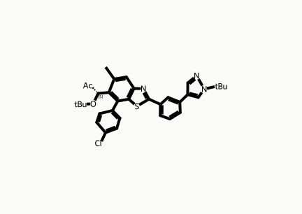 CC(=O)[C@@H](OC(C)(C)C)c1c(C)cc2nc(-c3cccc(-c4cnn(C(C)(C)C)c4)c3)sc2c1-c1ccc(Cl)cc1